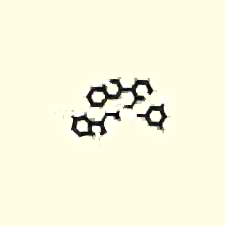 Cc1ccc2[nH]cc(CC(=O)N[C@@H](Cc3cc(F)cc(F)c3)c3ncccc3-c3cnc4ccccc4c3)c2c1